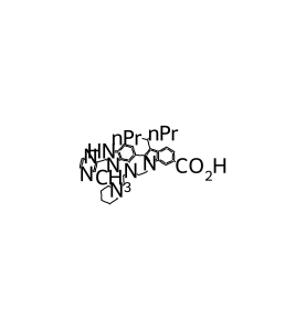 CCCC(CCC)c1c2n(c3cc(C(=O)O)ccc13)CCN(CCN1CCCCC1)c1c-2ccc2[nH]c(-c3nccnc3C)nc12